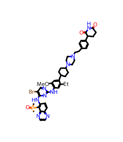 CCc1cc(Nc2ncc(Br)c(Nc3ccc4nccnc4c3P(C)(C)=O)n2)c(OC)cc1C1CCC(N2CCN(CCc3ccc(C4CCC(=O)NC4=O)cc3)CC2)CC1